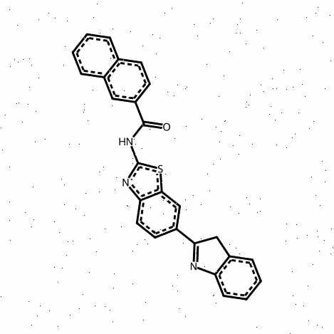 O=C(Nc1nc2ccc(C3=Nc4ccccc4C3)cc2s1)c1ccc2ccccc2c1